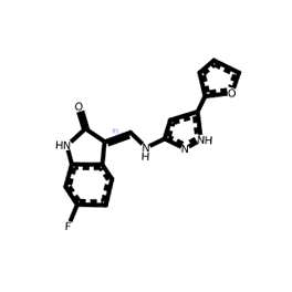 O=C1Nc2cc(F)ccc2/C1=C\Nc1cc(-c2ccco2)[nH]n1